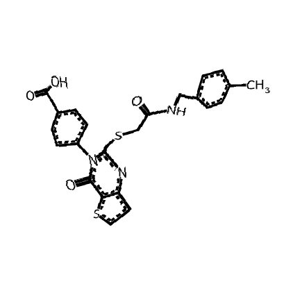 Cc1ccc(CNC(=O)CSc2nc3ccsc3c(=O)n2-c2ccc(C(=O)O)cc2)cc1